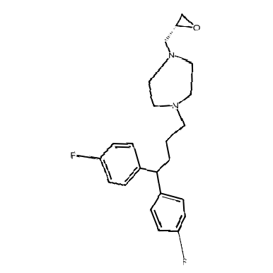 Fc1ccc(C(CCCN2CCN(C[C@@H]3CO3)CC2)c2ccc(F)cc2)cc1